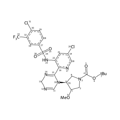 COC1CN(C(=O)OC(C)(C)C)C[C@@H]1N1C=NCN=C1c1ncc(Cl)cc1NS(=O)(=O)c1ccc(Cl)c(C(F)(F)F)c1